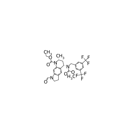 CCOC(=O)N1c2cc3c(cc2[C@@H](N(Cc2cc(C(F)(F)F)cc(C(F)(F)F)c2)C(=O)OC)C[C@H]1C)CCN3C=O